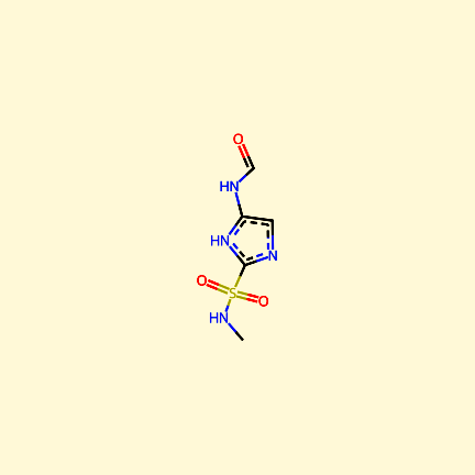 CNS(=O)(=O)c1ncc(NC=O)[nH]1